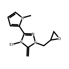 C=C1N(CC2CO2)N=C(c2cccn2C)N1CC